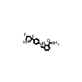 NC(=O)c1cccc2cn(-c3ccc([C@]4(F)CNC[C@H](F)C4)cc3)nc12